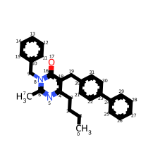 CCCCc1nc(C)n(Cc2ccccc2)c(=O)c1Cc1ccc(-c2ccccc2)cc1